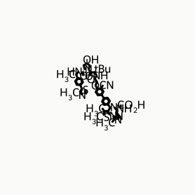 Cc1ncsc1-c1ccc([C@H](C)NC(=O)[C@@H]2C[C@@H](O)CN2C(=O)[C@@H](NC(=O)COc2ccc(-c3ccc(C4=NC(NC(=O)O)c5nnc(C)n5-c5sc(C)c(C)c54)cc3)cc2C#N)C(C)(C)C)cc1